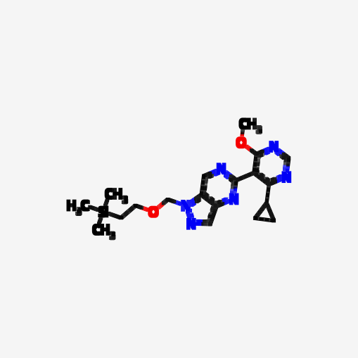 COc1ncnc(C2CC2)c1-c1ncc2c(cnn2COCC[Si](C)(C)C)n1